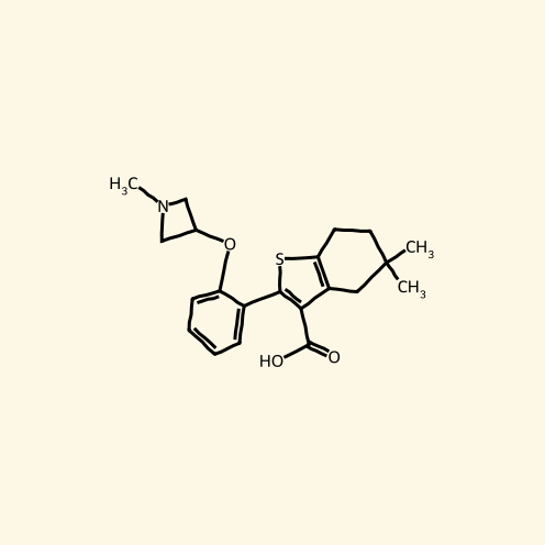 CN1CC(Oc2ccccc2-c2sc3c(c2C(=O)O)CC(C)(C)CC3)C1